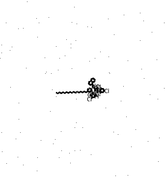 CCCCCCCCCCCCCCCCCCc1cccc(N(c2[nH]n(-c3c(Cl)cc(Cl)cc3Cl)c(=O)c2N=Nc2cccc3ccccc23)N2C(=O)CC(Cl)C2=O)c1